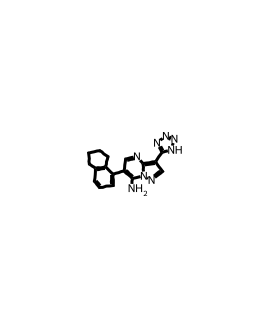 Nc1c(-c2cccc3c2CCCC3)cnc2c(-c3nnn[nH]3)cnn12